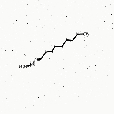 NN/N=C/CCCCCCCC(F)(F)F